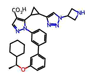 C[C@H](Oc1cccc(-c2cccc(-n3ncc(C(=O)O)c3C3CC3c3cn(C4CNC4)nn3)c2)c1)C1CCCCC1